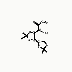 COC(=O)[C@@H](O)[C@@H]1OC(C)(C)O[C@H]1[C@H]1COC(C)(C)O1